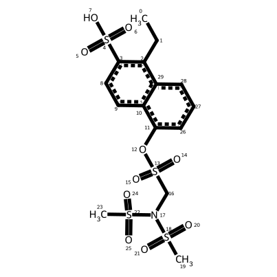 CCc1c(S(=O)(=O)O)ccc2c(OS(=O)(=O)CN(S(C)(=O)=O)S(C)(=O)=O)cccc12